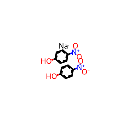 O=[N+]([O-])c1ccc(O)cc1.O=[N+]([O-])c1ccc(O)cc1.[Na]